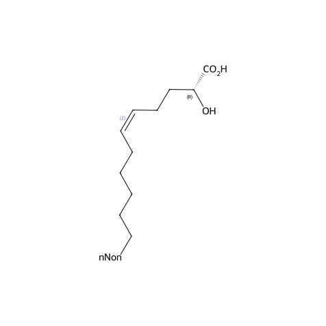 CCCCCCCCCCCCCC/C=C\CC[C@@H](O)C(=O)O